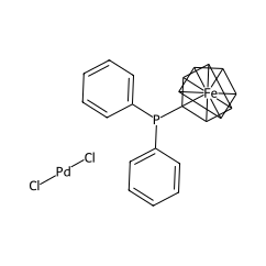 [Cl][Pd][Cl].c1ccc(P(c2ccccc2)[C]23[CH]4[CH]5[CH]6[CH]2[Fe]56432789[CH]3[CH]2[CH]7[CH]8[CH]39)cc1